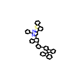 c1ccc(-c2nc(-c3ccc(-c4cccc(-c5ccc6c(c5)C(c5ccccc5)(c5ccccc5)c5ccccc5-6)c4)c4ccccc34)cc(-c3cccc4c3sc3ccccc34)n2)cc1